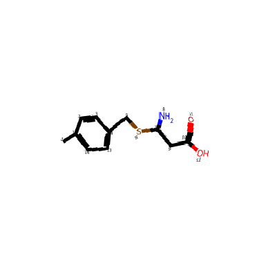 Cc1ccc(CSC(N)CC(=O)O)cc1